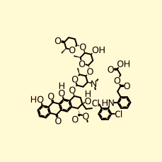 CC[C@@]1(O)C[C@H](O[C@H]2C[C@H](N(C)C)[C@H](O[C@H]3C[C@H](O)[C@H](O[C@H]4CCC(=O)[C@H](C)O4)[C@H](C)O3)[C@H](C)O2)c2c(cc3c(c2O)C(=O)c2c(O)cccc2C3=O)[C@H]1C(=O)OC.O=C(O)COC(=O)Cc1ccccc1Nc1c(Cl)cccc1Cl